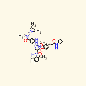 CCN(CC)CCN(C)C(=O)c1ccc(Nc2ncc(C(=O)Nc3c(C)cccc3C)c(Oc3ccc(CCC(=O)NC4CCCC4)cc3OC)n2)cc1